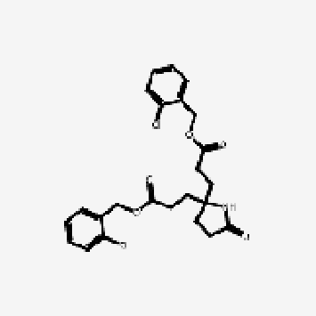 O=C1CCC(CCC(=O)OCc2ccccc2Cl)(CCC(=O)OCc2ccccc2Cl)N1